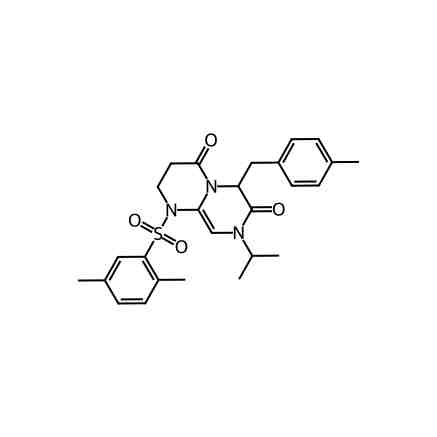 Cc1ccc(CC2C(=O)N(C(C)C)C=C3N2C(=O)CCN3S(=O)(=O)c2cc(C)ccc2C)cc1